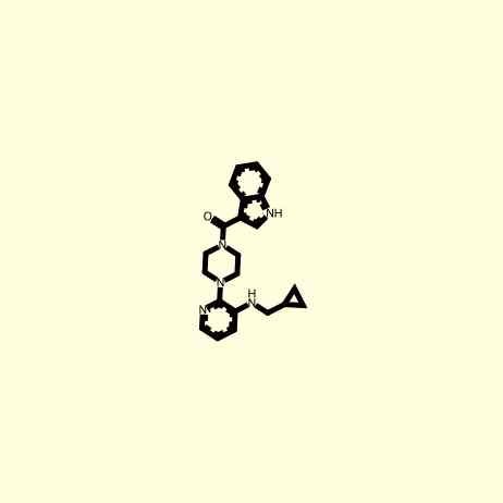 O=C(c1c[nH]c2ccccc12)N1CCN(c2ncccc2NCC2CC2)CC1